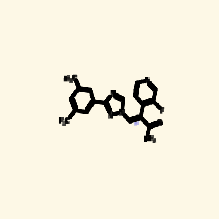 Cc1cc(-c2ncn(/C=C(/C(N)=O)c3ccncc3F)n2)cc(C(F)(F)F)c1